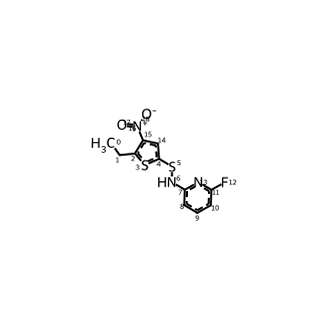 CCc1sc(SNc2cccc(F)n2)cc1[N+](=O)[O-]